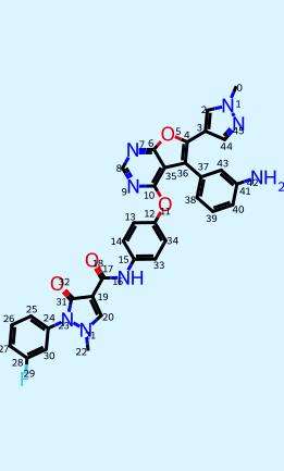 Cn1cc(-c2oc3ncnc(Oc4ccc(NC(=O)c5cn(C)n(-c6cccc(F)c6)c5=O)cc4)c3c2-c2cccc(N)c2)cn1